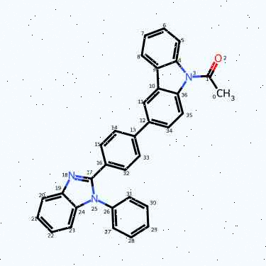 CC(=O)n1c2ccccc2c2cc(-c3ccc(-c4nc5ccccc5n4-c4ccccc4)cc3)ccc21